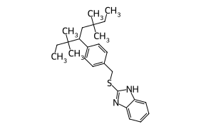 CCC(C)(C)CC(c1ccc(CSc2nc3ccccc3[nH]2)cc1)C(C)(C)CC